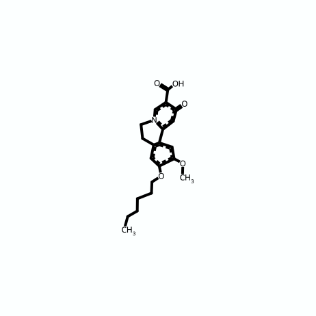 CCCCCCOc1cc2c(cc1OC)-c1cc(=O)c(C(=O)O)cn1CC2